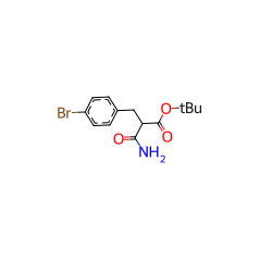 CC(C)(C)OC(=O)C(Cc1ccc(Br)cc1)C(N)=O